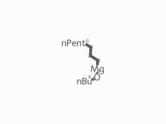 CCCCCCC[CH2][Mg][O]CCCC